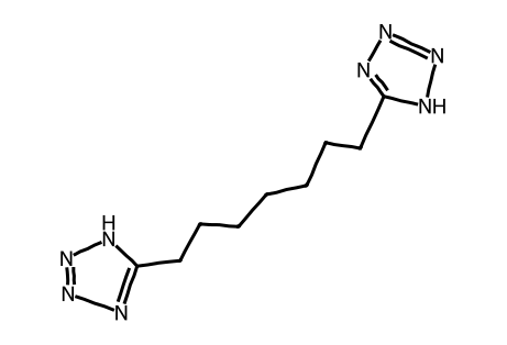 C(CCCc1nnn[nH]1)CCCc1nnn[nH]1